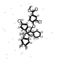 COC(=O)c1ccc(OCC(C2CCCCC2)C2(c3ccc(Cl)cc3)Nc3cc(F)c(F)cc3N2)c(Cl)c1